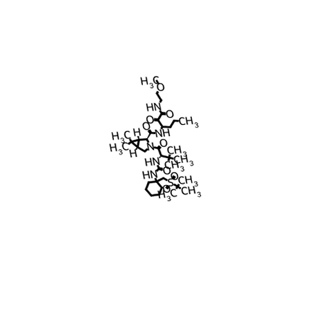 CCCC(NC(=O)[C@@H]1[C@@H]2[C@H](CN1C(=O)[C@@H](NC(=O)NC1(CS(=O)(=O)C(C)(C)C)CCCCC1)C(C)(C)C)C2(C)C)C(=O)C(=O)NCCOC